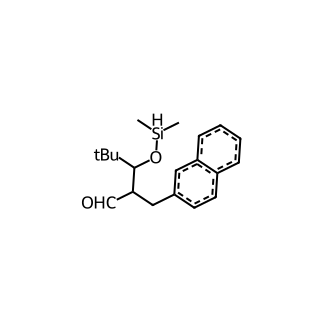 C[SiH](C)OC(C(C=O)Cc1ccc2ccccc2c1)C(C)(C)C